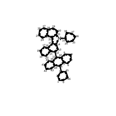 c1ccc(-c2c3ccccc3c(-c3cc4c(c5ccccc35)c3c5ccccc5ccc3n4-c3ccccc3)c3ccccc23)cc1